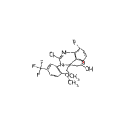 CCC1(CC(=O)O)c2cccc(F)c2N=C(Cl)N1c1cc(C(F)(F)F)ccc1OC